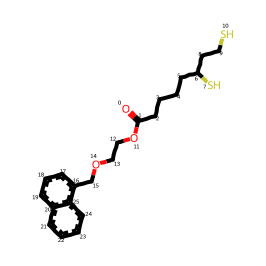 O=C(CCCCC(S)CCS)OCCOCc1cccc2ccccc12